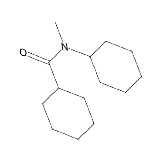 CN(C(=O)C1CCCCC1)C1CCCCC1